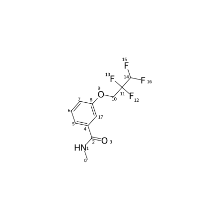 CNC(=O)c1cccc(OCC(F)(F)C(F)F)c1